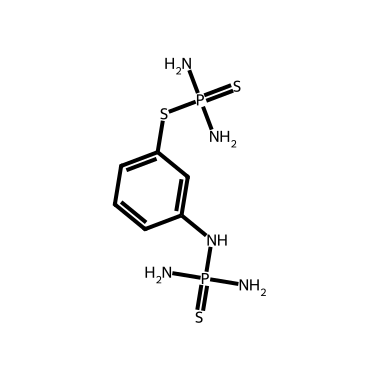 NP(N)(=S)Nc1cccc(SP(N)(N)=S)c1